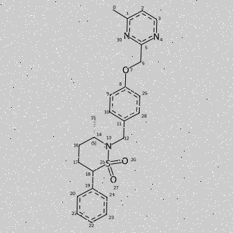 Cc1ccnc(COc2ccc(CN3[C@@H](C)CCC(c4ccccc4)S3(=O)=O)cc2)n1